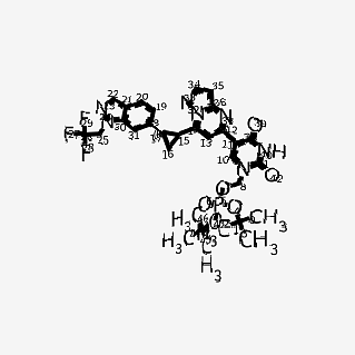 CC(C)(C)OP(=O)(OCn1cc(-c2cc(C3C[C@H]3c3ccc4cnn(CC(F)(F)F)c4c3)n3nccc3n2)c(=O)[nH]c1=O)OC(C)(C)C